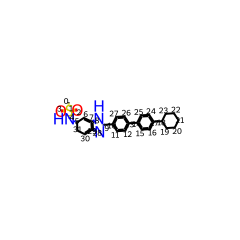 CS(=O)(=O)NC1C=c2[nH]c(-c3ccc(-c4ccc(C5CCCCC5)cc4)cc3)nc2=CC1